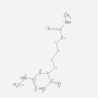 CNC(=S)SCCCCC(SC(=S)NC)C(=O)O